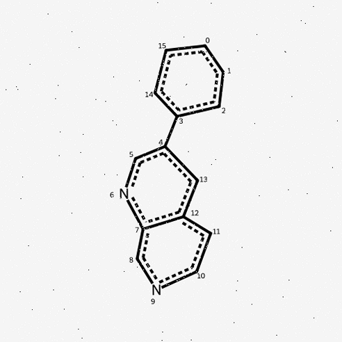 c1ccc(-c2cnc3cnccc3c2)cc1